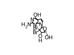 Nc1nc(O)c2ccn([C@@H]3O[C@H](CO)C(O)C3(Br)Br)c2n1